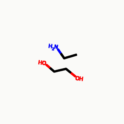 CCN.OCCO